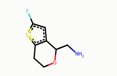 NCC1OCCc2sc(F)cc21